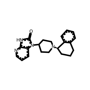 O=c1[nH]c2ncccc2n1C1CCN([C@@H]2CCCc3ccccc32)CC1